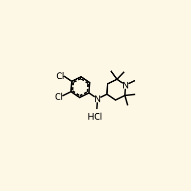 CN(c1ccc(Cl)c(Cl)c1)C1CC(C)(C)N(C)C(C)(C)C1.Cl